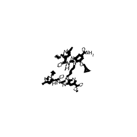 CCn1nc(C)cc1C(=O)Nc1nc2cc(C(=O)OC)cnc2n1C/C=C/Cn1c(NC(=O)c2cc(C)nn2CC)nc2cc(C(N)=O)cc(OCC3CC3)c21